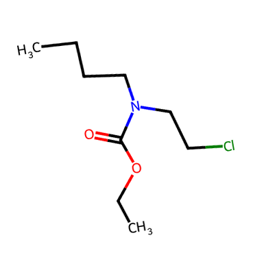 CCCCN(CCCl)C(=O)OCC